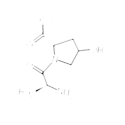 C[C@H](N)C(=O)N1CC(O)C[C@H]1C(=O)O